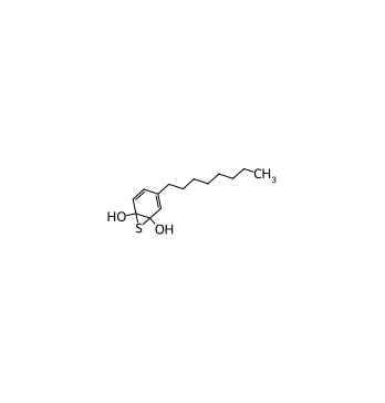 CCCCCCCCC1=CC2(O)SC2(O)C=C1